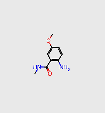 CNC(=O)c1cc(OC)ccc1N